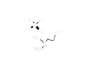 CCCCCCCCCCCC[P+](CCCC)(CCCC)CCCC.CCS(=O)(=O)[O-]